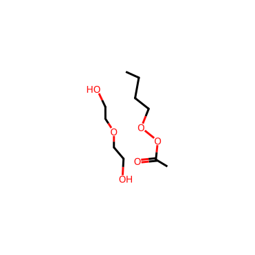 CCCCOOC(C)=O.OCCOCCO